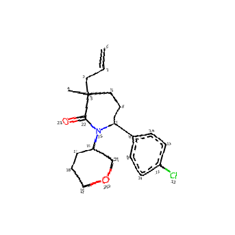 C=CCC1(C)CCC(c2ccc(Cl)cc2)N(C2CCCOC2)C1=O